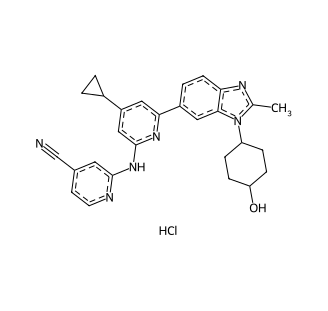 Cc1nc2ccc(-c3cc(C4CC4)cc(Nc4cc(C#N)ccn4)n3)cc2n1C1CCC(O)CC1.Cl